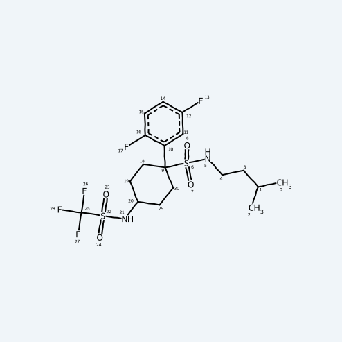 CC(C)CCNS(=O)(=O)C1(c2cc(F)ccc2F)CCC(NS(=O)(=O)C(F)(F)F)CC1